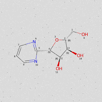 OC[C@H]1O[C@@H](c2ncccn2)[C@H](O)[C@@H]1O